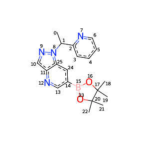 CC(c1ccccn1)n1ncc2ncc(B3OC(C)(C)C(C)(C)O3)cc21